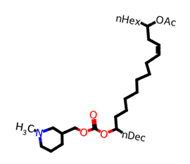 CCCCCCCCCCC(CCCCCCC/C=C\CC(CCCCCC)OC(C)=O)OC(=O)OCC1CCCN(C)C1